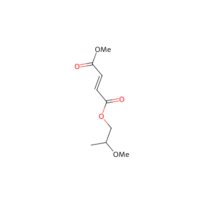 COC(=O)/C=C/C(=O)OCC(C)OC